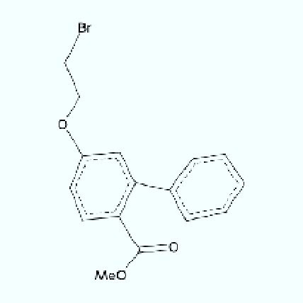 COC(=O)c1ccc(OCCBr)cc1-c1ccccc1